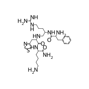 N=C(N)NCCCC(CNC(Cc1cscn1)C(=O)NC(CCCCN)C(N)=O)NC(=O)C(N)Cc1ccccc1